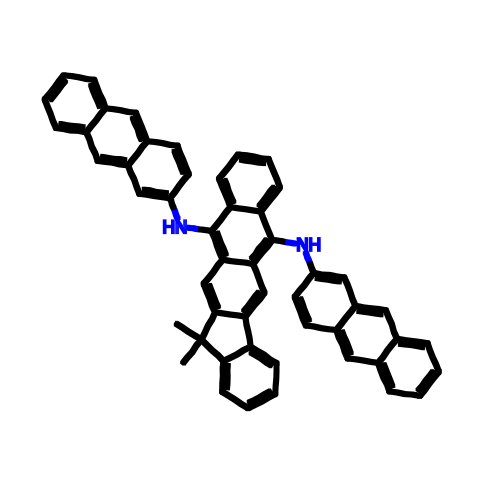 CC1(C)c2ccccc2-c2cc3c(Nc4ccc5cc6ccccc6cc5c4)c4ccccc4c(Nc4ccc5cc6ccccc6cc5c4)c3cc21